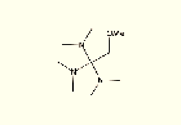 COCC(N(C)C)(N(C)C)N(C)C